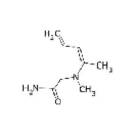 C=C/C=C(/C)N(C)CC(N)=O